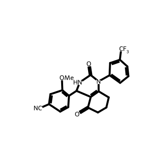 COc1cc(C#N)ccc1C1NC(=O)N(c2cccc(C(F)(F)F)c2)C2=C1C(=O)CCC2